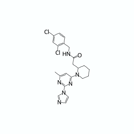 Cc1cc(N2CCCCC2CC(=O)NCc2ccc(Cl)cc2Cl)nc(-n2ccnc2)n1